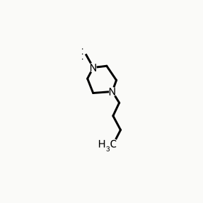 [C]N1CCN(CCCC)CC1